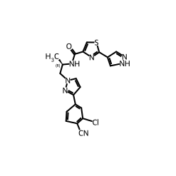 C[C@H](Cn1ccc(-c2ccc(C#N)c(Cl)c2)n1)NC(=O)c1csc(-c2cn[nH]c2)n1